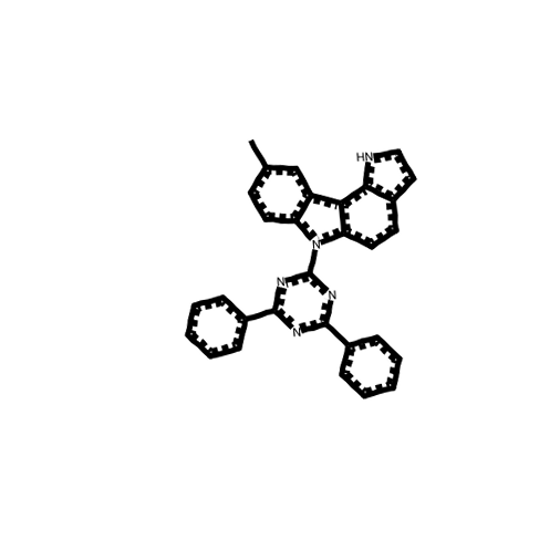 Cc1ccc2c(c1)c1c3[nH]ccc3ccc1n2-c1nc(-c2ccccc2)nc(-c2ccccc2)n1